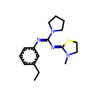 CCc1cccc(N=C(N=C2SCCN2C)N2CCCC2)c1